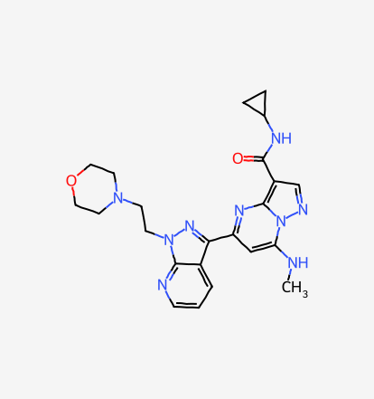 CNc1cc(-c2nn(CCN3CCOCC3)c3ncccc23)nc2c(C(=O)NC3CC3)cnn12